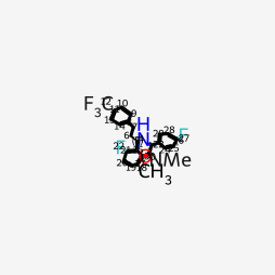 CNC(=O)C(N[C@H](CCc1ccc(C(F)(F)F)cc1)c1cc(C)ccc1F)c1ccc(F)cc1